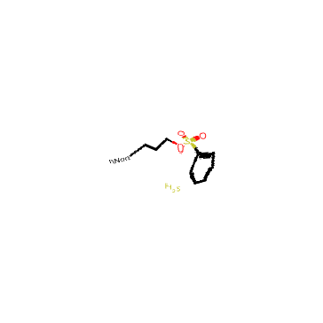 CCCCCCCCCCCCOS(=O)(=O)c1ccccc1.S